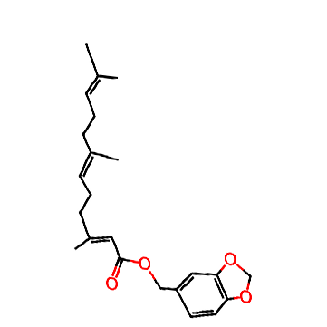 CC(C)=CCC/C(C)=C/CC/C(C)=C/C(=O)OCc1ccc2c(c1)OCO2